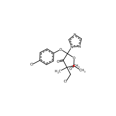 CC(=O)OC(Oc1ccc(Cl)cc1)(C(=O)C(C)(C)CCl)n1cncn1